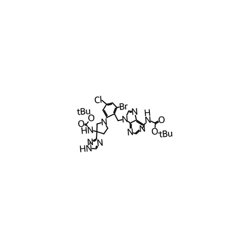 CC(C)(C)OC(=O)Nc1ncnc2c1ncn2Cc1c(Br)cc(Cl)cc1N1CCC(NC(=O)OC(C)(C)C)(c2nc[nH]n2)C1